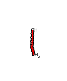 C=CC(=O)OCCCCCCOc1ccc(C(=O)Oc2ccc(OC(=O)c3ccc(OCCCCCCOC(=O)CCCCCOC(=O)CCCCCOC(=O)CCCCCOC(=O)CCCCCOC(=O)CCCCCOC(=O)CCCCCOC(=O)CCCCCOC(=O)CCCCCO)cc3)cc2)cc1